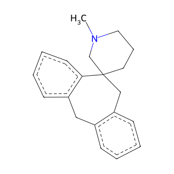 CN1CCCC2(Cc3ccccc3Cc3ccccc32)C1